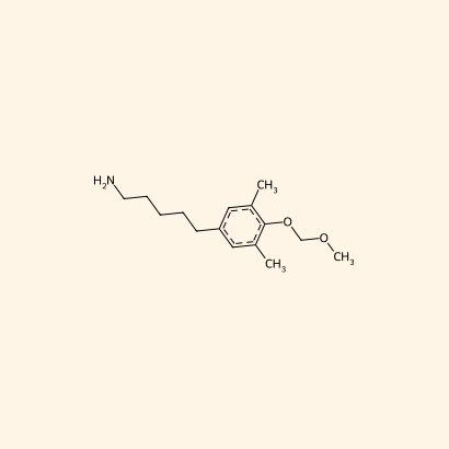 COCOc1c(C)cc(CCCCCN)cc1C